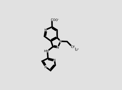 O=C([O-])c1cc2c(cn1)c(Nc1cnccn1)nn2CC(F)(F)F.[Li+]